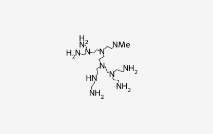 CNCCN(CCN(CN)CN)CCN(CCNCCN)CCN(CCN)CCN